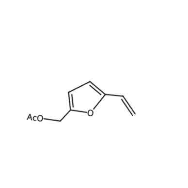 C=Cc1ccc(COC(C)=O)o1